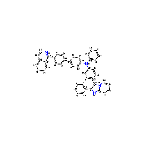 c1ccc(-c2nc3ccccn3c2-c2ccc(N(c3ccccc3)c3ccc(-c4ccc(-c5nccc6ccccc56)cc4)cc3)cc2)cc1